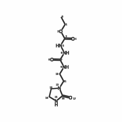 CCOC(=O)NNC(=O)NCCN1CCNC1=O